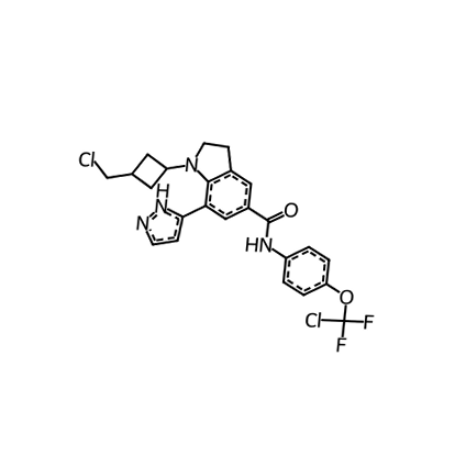 O=C(Nc1ccc(OC(F)(F)Cl)cc1)c1cc2c(c(-c3ccn[nH]3)c1)N(C1CC(CCl)C1)CC2